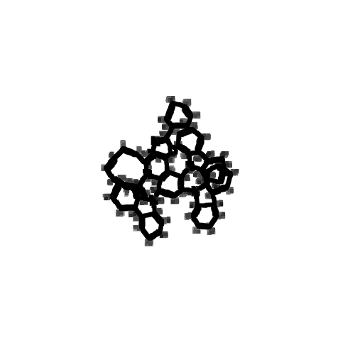 C=c1ccccccc(=C)n1-c1c(-n2c3ccccc3c3ccccc32)cc(-n2c3ccccc3c3ccccc32)c(-n2c3ccccc3c3ccccc32)c1-c1nnc(-c2ccccc2)o1